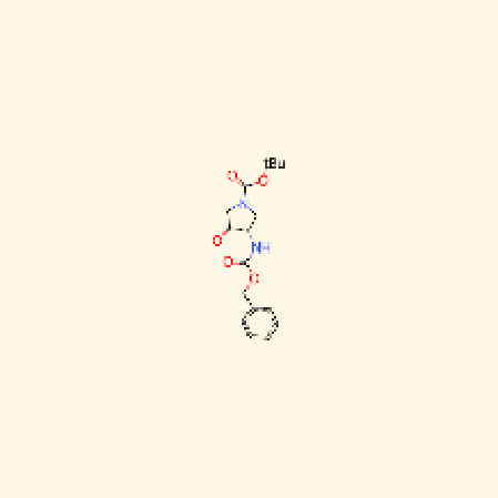 CC(C)(C)OC(=O)N1CC(=O)[C@@H](NC(=O)OCc2ccccc2)C1